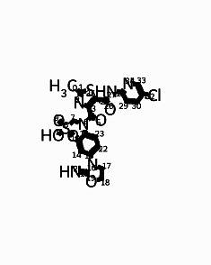 Cc1nc(C(=O)N(CS(=O)(=O)O)c2ccc(N3CCOC3=N)cc2)c(C(=O)Nc2ccc(Cl)cn2)s1